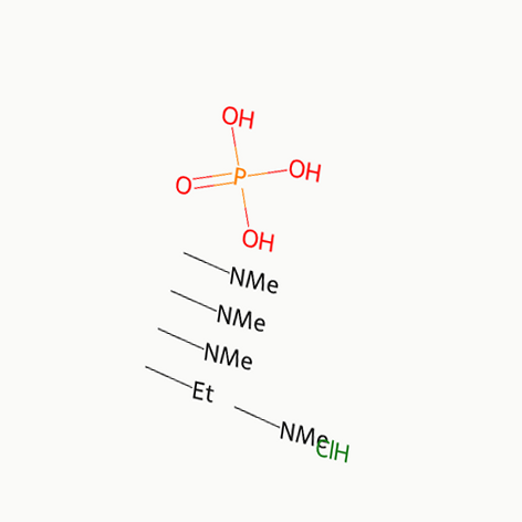 CCC.CNC.CNC.CNC.CNC.Cl.O=P(O)(O)O